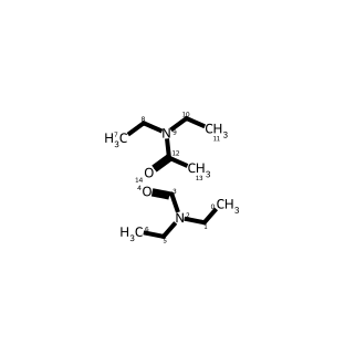 CCN(C=O)CC.CCN(CC)C(C)=O